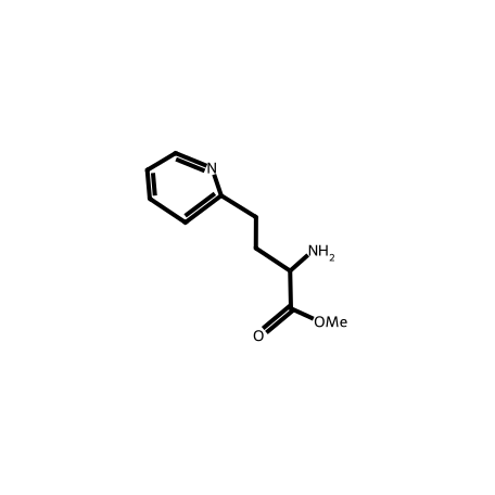 COC(=O)C(N)CCc1ccccn1